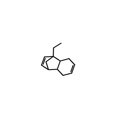 CCC12C=CC(C1)C1CC=CCC12